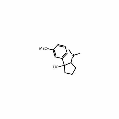 COc1cccc(C2(O)CCCC2N(C)C)c1